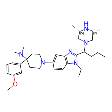 CCCC(c1nc2cc(N3CCC(c4cccc(OC)c4)(N(C)C)CC3)ccc2n1CC)N1C[C@@H](C)N[C@@H](C)C1